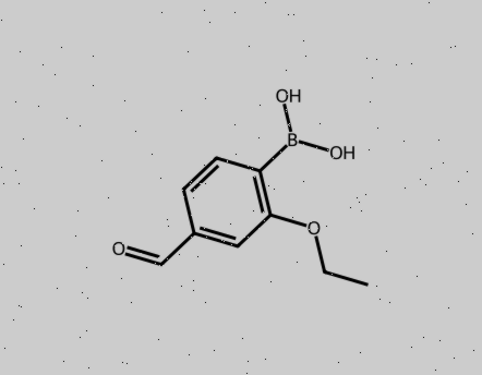 CCOc1cc(C=O)ccc1B(O)O